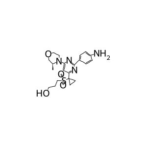 C[C@H]1COCCN1c1cc(C2(S(=O)(=O)CCCO)CC2)nc(-c2ccc(N)cc2)n1